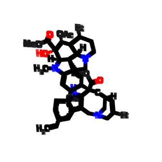 C=Cc1ccc2[nH]c3c(c2c1)CN1CC(CC)=C[C@@H](C1)C[C@]3(C(=O)OC)C1C=C2C(=CC1OC)N(C)[C@H]1[C@@](O)(C(=O)OC)[C@H](OC(C)=O)C3[C@@H](CC)CCN4CC[C@]21[C@H]34